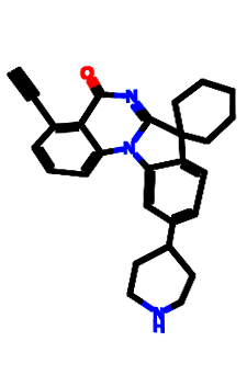 C#Cc1cccc2c1c(=O)nc1n2-c2cc(C3CCNCC3)ccc2C12CCCCC2